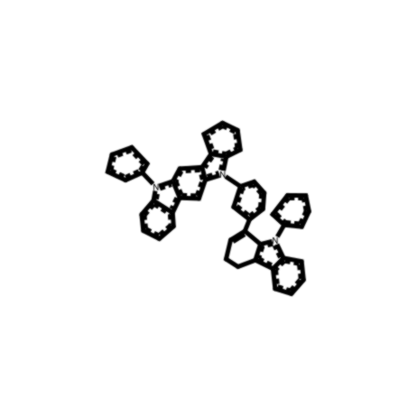 C1=C(c2cccc(-n3c4ccccc4c4cc5c(cc43)c3ccccc3n5-c3ccccc3)c2)c2c(c3ccccc3n2-c2ccccc2)CC1